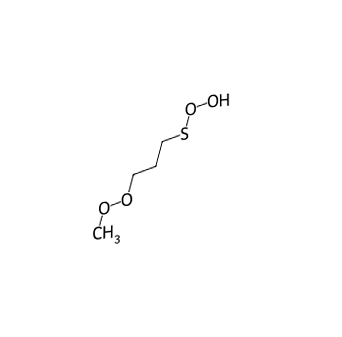 COOCCCSOO